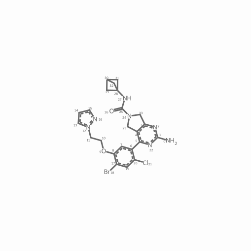 Nc1nc2c(c(-c3cc(OCCn4cccn4)c(Br)cc3Cl)n1)CN(C(=O)NC13CC(C1)C3)C2